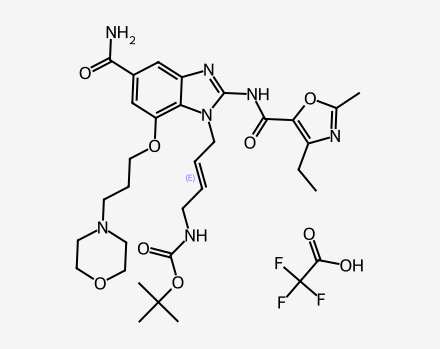 CCc1nc(C)oc1C(=O)Nc1nc2cc(C(N)=O)cc(OCCCN3CCOCC3)c2n1C/C=C/CNC(=O)OC(C)(C)C.O=C(O)C(F)(F)F